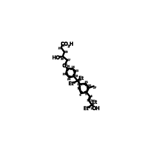 CCC(O)(C=Cc1ccc(C(CC)(CC)c2ccc(OC[C@@H](O)CCC(=O)O)cc2)cc1C)CC